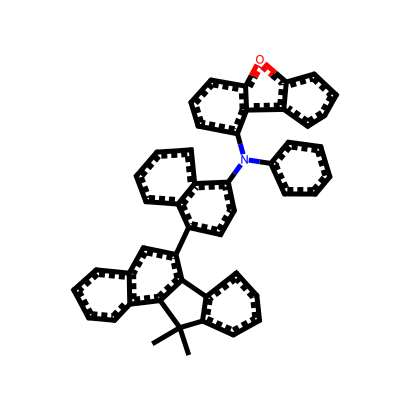 CC1(C)c2ccccc2-c2c(-c3ccc(N(c4ccccc4)c4cccc5oc6ccccc6c45)c4ccccc34)cc3ccccc3c21